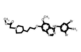 COC(=O)CN1CCC(CCCOc2cc3ncnc(Nc4cc(Br)c(N)c(Br)c4)c3cc2OC)CC1